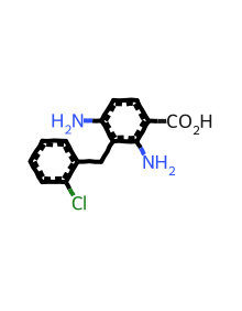 Nc1ccc(C(=O)O)c(N)c1Cc1ccccc1Cl